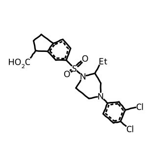 CCC1CN(c2ccc(Cl)c(Cl)c2)CCN1S(=O)(=O)c1ccc2c(c1)C(C(=O)O)CC2